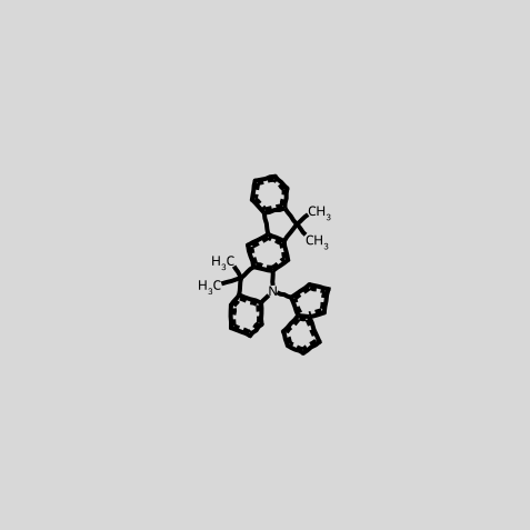 CC1(C)c2ccccc2-c2cc3c(cc21)N(c1cccc2ccccc12)c1ccccc1C3(C)C